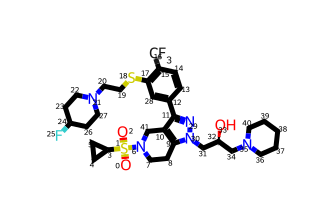 O=S(=O)(C1CC1)N1CCc2c(c(-c3ccc(C(F)(F)F)c(SCCN4CCC(F)CC4)c3)nn2C[C@@H](O)CN2CCCCC2)C1